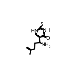 C=C(C)CCC(N)c1c[nH]c(=S)[nH]c1=O